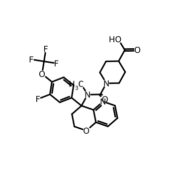 CN(C(=O)N1CCC(C(=O)O)CC1)C1(c2ccc(OC(F)(F)F)c(F)c2)CCOc2cccnc21